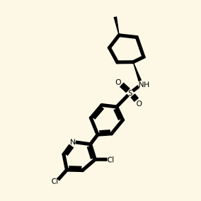 C[C@H]1CC[C@@H](NS(=O)(=O)c2ccc(-c3ncc(Cl)cc3Cl)cc2)CC1